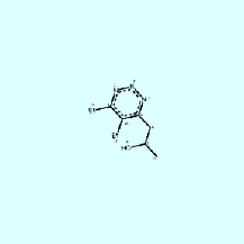 CCc1nnnc(CC(C)O)c1CC